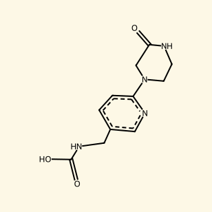 O=C(O)NCc1ccc(N2CCNC(=O)C2)nc1